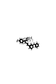 C=CC(C)(CCCc1cccc(Cc2ccccc2)c1)c1ccc(F)cc1